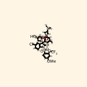 COc1ccc(S(=O)(=O)N2C(=O)C(c3cc(C)ccc3OC)(N3C[C@H](O)C[C@H]3C(=O)N3CC(N(C)C)C3)c3cc(Cl)ccc32)c(OC(F)(F)F)c1